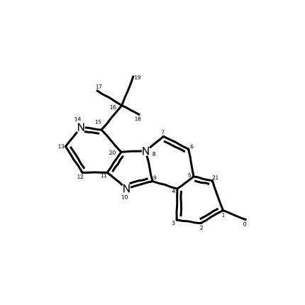 Cc1ccc2c(ccn3c2nc2ccnc(C(C)(C)C)c23)c1